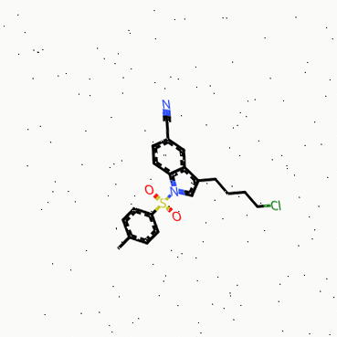 Cc1ccc(S(=O)(=O)n2cc(CCCCCl)c3cc(C#N)ccc32)cc1